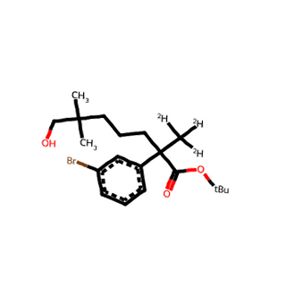 [2H]C([2H])([2H])C(CCCC(C)(C)CO)(C(=O)OC(C)(C)C)c1cccc(Br)c1